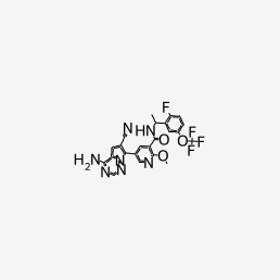 COc1ncc(-c2c(C#N)cc3c(N)ncnn23)cc1C(=O)NC(C)c1cc(OC(F)(F)F)ccc1F